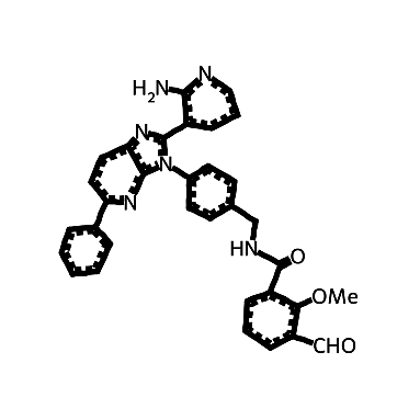 COc1c(C=O)cccc1C(=O)NCc1ccc(-n2c(-c3cccnc3N)nc3ccc(-c4ccccc4)nc32)cc1